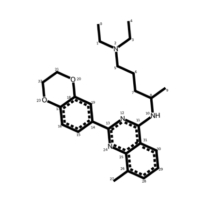 CCN(CC)CCCC(C)Nc1nc(-c2ccc3c(c2)OCCO3)nc2c(C)cccc12